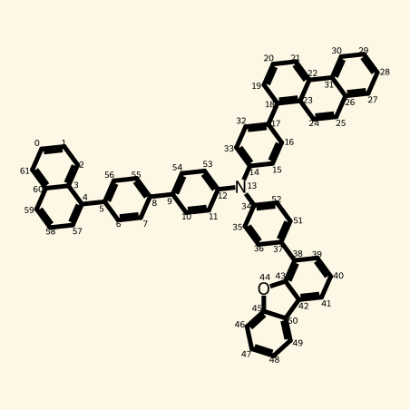 c1ccc2c(-c3ccc(-c4ccc(N(c5ccc(-c6cccc7c6ccc6ccccc67)cc5)c5ccc(-c6cccc7c6oc6ccccc67)cc5)cc4)cc3)cccc2c1